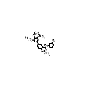 COc1cc(-c2ccc3nc(N)nc(Nc4cccc(Br)c4)c3c2)cc(OC)c1OC